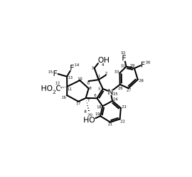 CC(C)(CO)c1c([C@]2(C)CC[C@](C(=O)O)(C(F)F)CC2)c2c(O)cccc2n1-c1ccc(F)c(F)c1